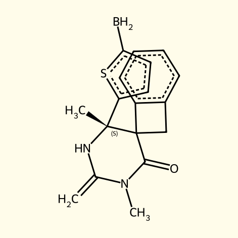 Bc1ccc([C@@]2(C)NC(=C)N(C)C(=O)C23Cc2ccccc23)s1